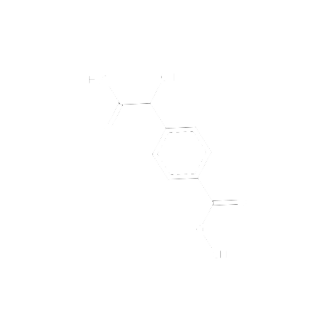 COC(=O)c1ccc(C(C)C(C)=O)cc1